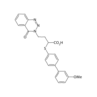 COc1cccc(-c2ccc(SC(CCn3nnc4ccccc4c3=O)C(=O)O)cc2)c1